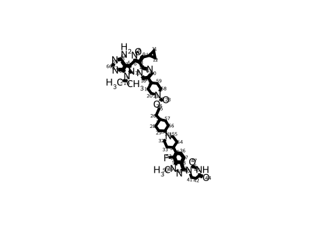 CC(C)n1nc(-c2noc(C3CC3)c2-c2ncc(C3CCN(C(=O)OCCC4CCC(N5CCC(c6ccc7c(N8CCC(=O)NC8=O)nn(C)c7c6F)CC5)CC4)CC3)cn2)c2c(N)ncnc21